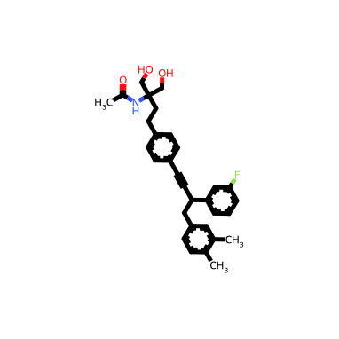 CC(=O)NC(CO)(CO)CCc1ccc(C#CC(Cc2ccc(C)c(C)c2)c2cccc(F)c2)cc1